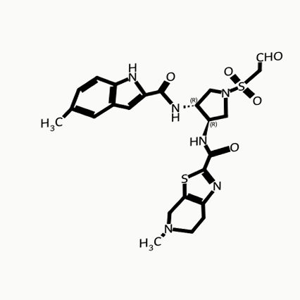 Cc1ccc2[nH]c(C(=O)N[C@@H]3CN(S(=O)(=O)CC=O)C[C@H]3NC(=O)c3nc4c(s3)CN(C)CC4)cc2c1